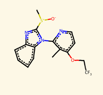 Cc1c(OCC(F)(F)F)ccnc1-n1c([S+](C)[O-])nc2ccccc21